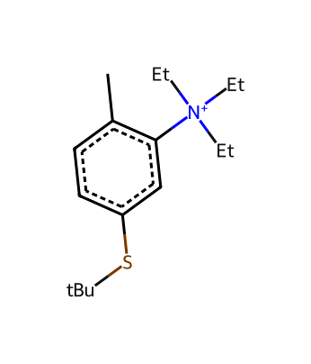 CC[N+](CC)(CC)c1cc(SC(C)(C)C)ccc1C